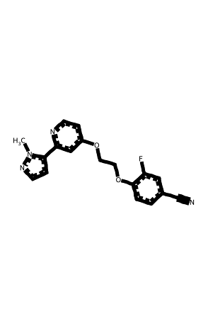 Cn1nccc1-c1cc(OCCOc2ccc(C#N)cc2F)ccn1